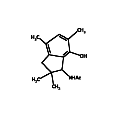 CC(=O)NC1c2c(O)c(C)cc(C)c2CC1(C)C